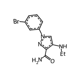 CCNc1cn(-c2cccc(Br)c2)nc1C(N)=O